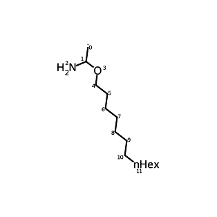 [CH2]C(N)OCCCCCCCCCCCCC